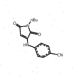 CCCCN1C(=O)C=C(Nc2ccc(C#N)cc2)C1=O